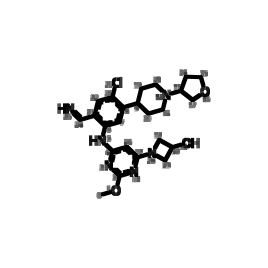 COc1nc(Nc2cc(C3CCN(C4CCOC4)CC3)c(Cl)cc2C=N)cc(N2CC(O)C2)n1